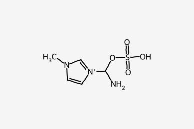 Cn1cc[n+](C(N)OS(=O)(=O)O)c1